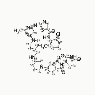 Cc1nc(Nc2ncc(C(=O)Nc3c(C)cccc3Cl)s2)cc(N2CCC(CN[C@H]3CCCN(c4ccc5c(c4)C(=O)N(C4CCC(=O)NC4=O)C5=O)C3)CC2)n1